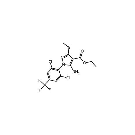 CCOC(=O)c1c(SC)nn(-c2c(Cl)cc(C(F)(F)F)cc2Cl)c1N